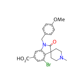 COc1ccc(CN2C(=O)C3(CCN(C)CC3)c3c(Br)cc(C(=O)O)cc32)cc1